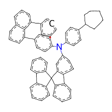 c1ccc(-c2cccc3cccc(-c4ccc(N(c5ccc(C6CCCCC6)cc5)c5ccc6c(c5)C5(c7ccccc7-c7ccccc75)c5ccccc5-6)cc4)c23)cc1